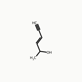 C#C/C=C/C(C)O